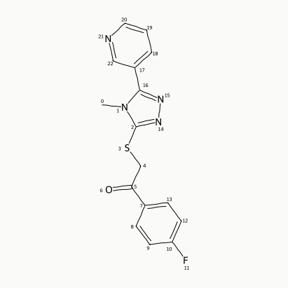 Cn1c(SCC(=O)c2ccc(F)cc2)nnc1-c1cccnc1